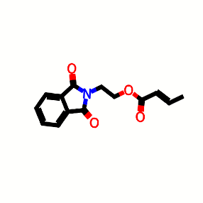 C/C=C/C(=O)OCCN1C(=O)c2ccccc2C1=O